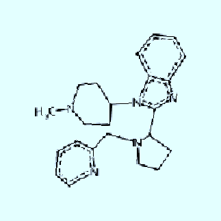 CN1CCC(n2c(C3CCCN3Cc3ccccn3)nc3ccccc32)CC1